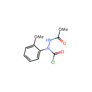 COC(=O)NN(C(=O)Cl)c1ccccc1OC